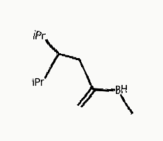 C=C(BC)CC(C(C)C)C(C)C